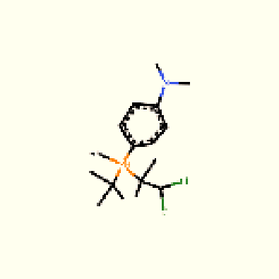 CN(C)c1ccc([PH]([Ra])(C(C)(C)C)C(C)(C)C(Cl)Cl)cc1